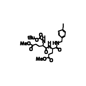 COC(=O)CCC(NC(=O)OC(C)(C)C)C(=O)NC(CCC(=O)OC)C(=O)NCc1ccc(I)cc1